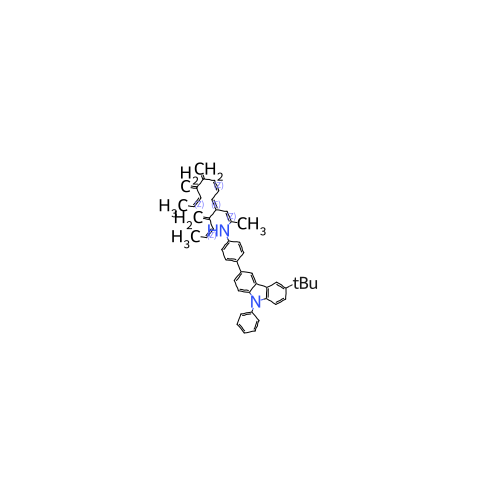 C=C(/C=C\C)C(=C)\C=C/C=C(\C=C(\C)Nc1ccc(-c2ccc3c(c2)c2cc(C(C)(C)C)ccc2n3-c2ccccc2)cc1)C(=C)/C=C\C